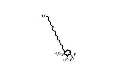 CCCCCCCCCCCCCCCc1ccc([N+](=O)[O-])c([N+](=O)[O-])c1OC